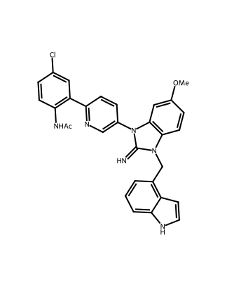 COc1ccc2c(c1)n(-c1ccc(-c3cc(Cl)ccc3NC(C)=O)nc1)c(=N)n2Cc1cccc2[nH]ccc12